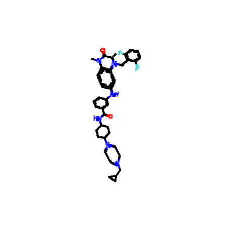 C[C@@H]1C(=O)N(C)c2ccc(Nc3cccc(C(=O)NC4CCC(N5CCN(CC6CC6)CC5)CC4)c3)cc2N1Cc1c(F)cccc1F